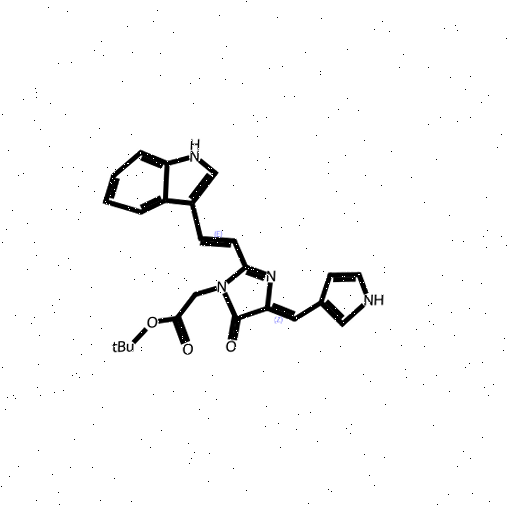 CC(C)(C)OC(=O)CN1C(=O)/C(=C/c2cc[nH]c2)N=C1/C=C/c1c[nH]c2ccccc12